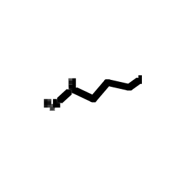 NNCCCI